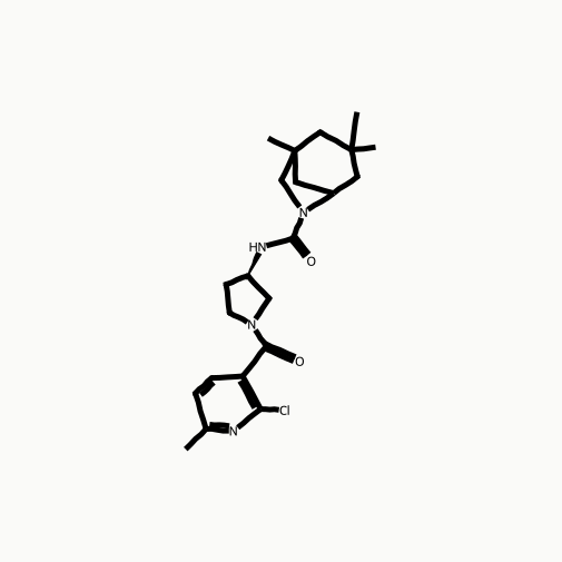 Cc1ccc(C(=O)N2CC[C@@H](NC(=O)N3CC4(C)CC3CC(C)(C)C4)C2)c(Cl)n1